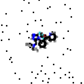 CN(C)CC1=NN=C[N+]1(c1ccccc1C(=O)c1ccccn1)C(F)(F)F